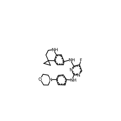 Fc1cnc(Nc2ccc(N3CCOCC3)cc2)nc1Nc1ccc2c(c1)NCCC21CC1